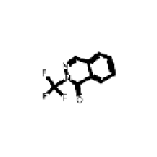 O=c1c2ccccc2cnn1C(F)(F)F